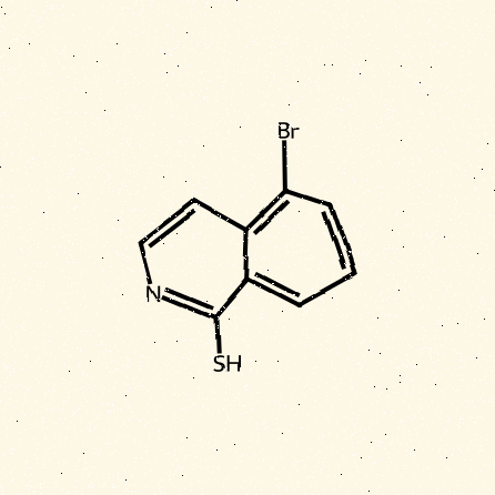 Sc1nccc2c(Br)cccc12